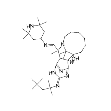 CC(C)(C)CC(C)(C)N=c1nc2nc([nH]1)C1C(C)(C=NC3CC(C)(C)NC(C)(C)C3)N3CCCCCCC(O)(C21[N])C3(C)C